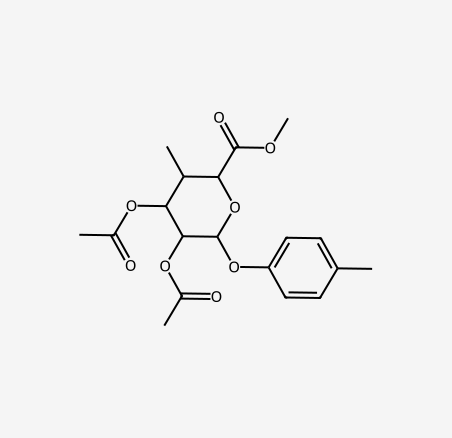 COC(=O)C1OC(Oc2ccc(C)cc2)C(OC(C)=O)C(OC(C)=O)C1C